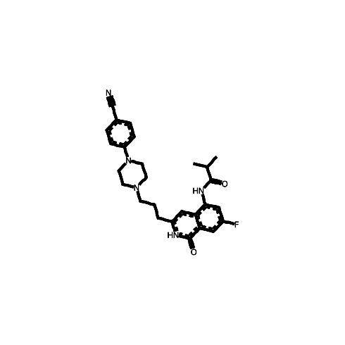 CC(C)C(=O)Nc1cc(F)cc2c(=O)[nH]c(CCCN3CCN(c4ccc(C#N)cc4)CC3)cc12